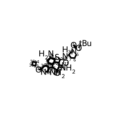 CC(C)(C)OC(=O)N1CCC[C@@H](NC(=O)[C@@H]2Sc3c(N)ccc4c3[C@@H]2[C@@H](N)C(=O)[C@]4(N)c2ccc(OC3CCC3)nc2)C1